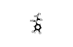 CCNC(=O)N(S)c1ccc(Cl)c(Cl)c1